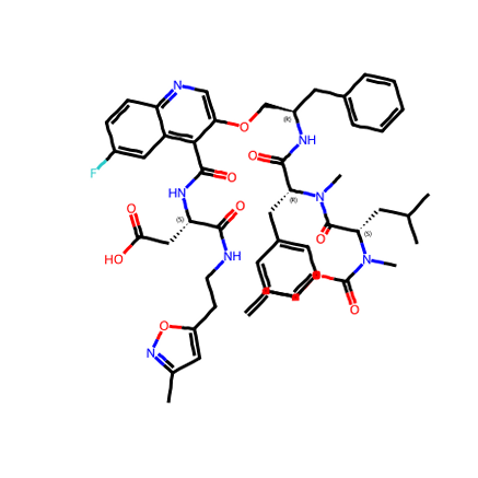 C=CCOC(=O)N(C)[C@@H](CC(C)C)C(=O)N(C)[C@H](Cc1ccccc1)C(=O)N[C@@H](COc1cnc2ccc(F)cc2c1C(=O)N[C@@H](CC(=O)O)C(=O)NCCc1cc(C)no1)Cc1ccccc1